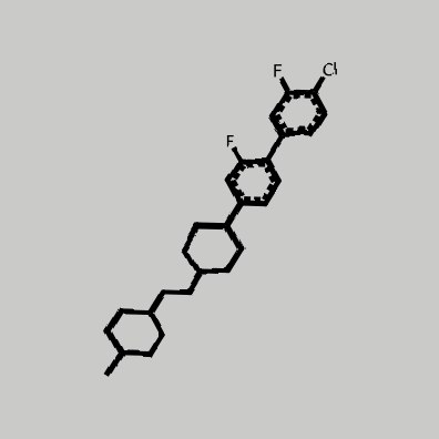 CC1CCC(CCC2CCC(c3ccc(-c4ccc(Cl)c(F)c4)c(F)c3)CC2)CC1